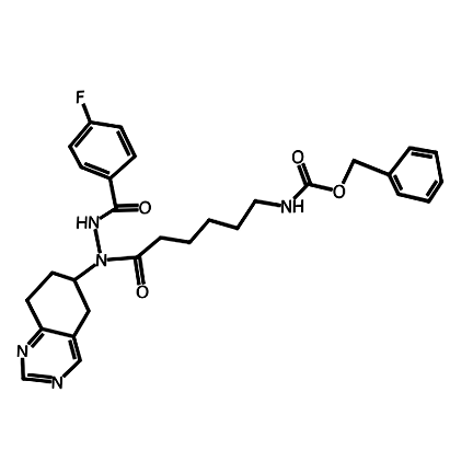 O=C(NCCCCCC(=O)N(NC(=O)c1ccc(F)cc1)C1CCc2ncncc2C1)OCc1ccccc1